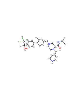 Cc1cc(CN2CCN(Cc3ccncc3)C(C(=O)NC(C)C)C2)ccc1-c1ccc(C(C)(O)C(F)(F)F)cc1